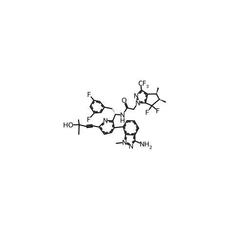 C[C@@H]1c2c(C(F)(F)F)nn(CC(=O)N[C@@H](Cc3cc(F)cc(F)c3)c3nc(C#CC(C)(C)O)ccc3-c3cccc4c(N)nn(C)c34)c2C(F)(F)[C@@H]1C